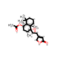 CC(=O)O[C@@H]1C[C@@H](C)[C@](O)(CCC2=CC(=O)OC2)[C@@]2(C)CCCC(C)(C)[C@H]12